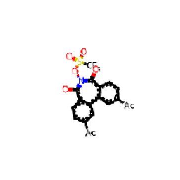 CC(=O)c1ccc2c(=O)n(OS(=O)(=O)C(F)(F)F)c(=O)c3ccc(C(C)=O)cc3c2c1